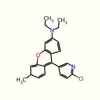 CCN(CC)c1ccc2c(c1)OC1=CC(C)C=CC1=C2c1ccc(Cl)nc1